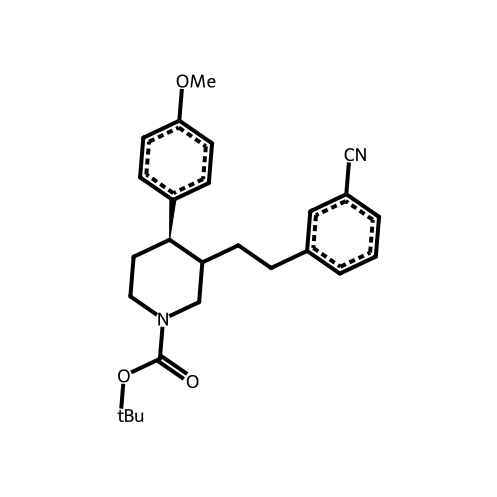 COc1ccc([C@@H]2CCN(C(=O)OC(C)(C)C)CC2CCc2cccc(C#N)c2)cc1